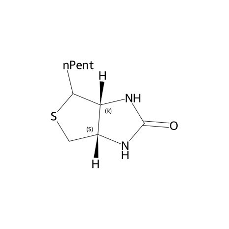 CCCCCC1SC[C@H]2NC(=O)N[C@@H]12